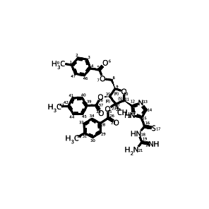 Cc1ccc(C(=O)OC[C@H]2O[C@@H](c3ncc(C(=S)NC(=N)N)[nH]3)[C@](C)(OC(=O)c3ccc(C)cc3)[C@@H]2OC(=O)c2ccc(C)cc2)cc1